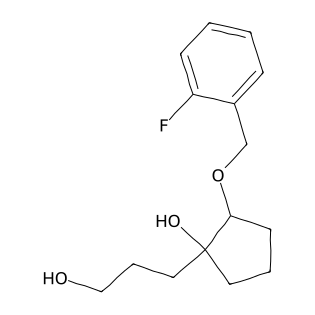 OCCCC1(O)CCCC1OCc1ccccc1F